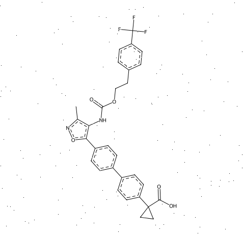 Cc1noc(-c2ccc(-c3ccc(C4(C(=O)O)CC4)cc3)cc2)c1NC(=O)OCCc1ccc(C(F)(F)F)cc1